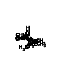 COCC[C@H]1CN(c2nc(OC[C@@H]3CCCN3C)nc3c2CCNC3)CCN1C(=O)OC(C)(C)C